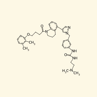 Cc1cccc(OCCCC(=O)N2CCCc3c(-c4cnn(Cc5cccc(NC(=O)NCCN(C)C)c5)c4)cccc32)c1C